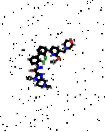 COc1nc(-c2cccc(-c3cccc(NC(=O)c4nc5c(n4C)CCN(C)C5)c3Cl)c2Cl)ccc1CN1CCOCC1